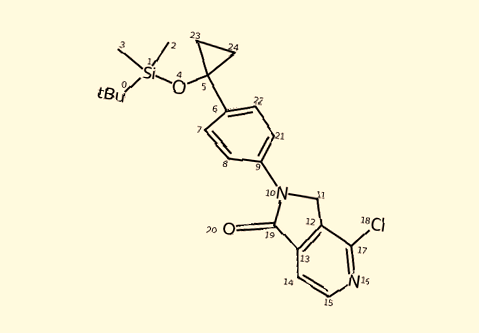 CC(C)(C)[Si](C)(C)OC1(c2ccc(N3Cc4c(ccnc4Cl)C3=O)cc2)CC1